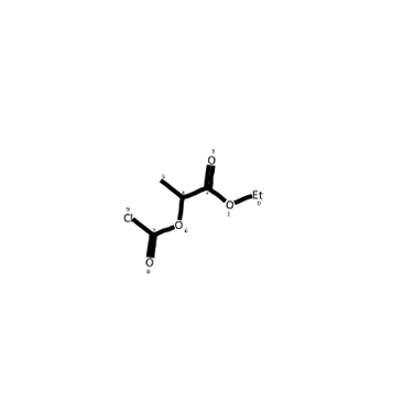 CCOC(=O)C(C)OC(=O)Cl